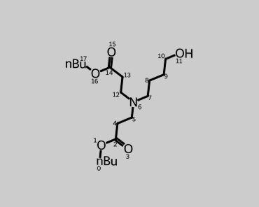 CCCCOC(=O)CCN(CCCCO)CCC(=O)OCCCC